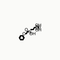 O=C(COc1ccccc1)N(O)CCCP(=O)(O)O